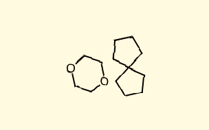 C1CCC2(C1)CCCC2.C1COCCO1